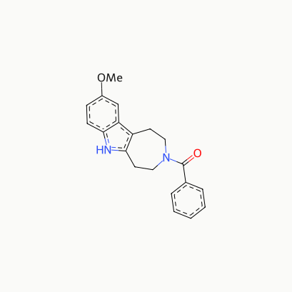 COc1ccc2[nH]c3c(c2c1)CCN(C(=O)c1ccccc1)CC3